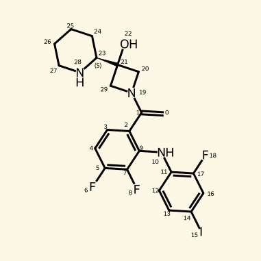 C=C(c1ccc(F)c(F)c1Nc1ccc(I)cc1F)N1CC(O)([C@@H]2CCCCN2)C1